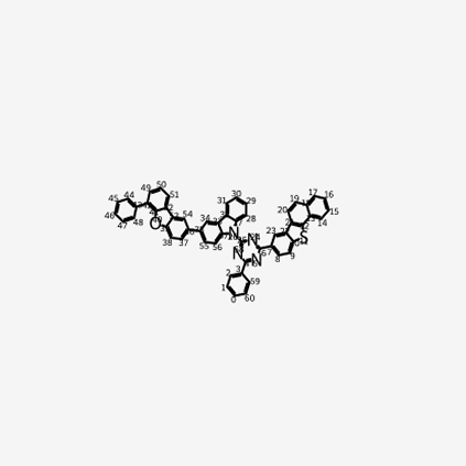 c1ccc(-c2nc(-c3ccc4sc5c6ccccc6ccc5c4c3)nc(-n3c4ccccc4c4cc(-c5ccc6oc7c(-c8ccccc8)cccc7c6c5)ccc43)n2)cc1